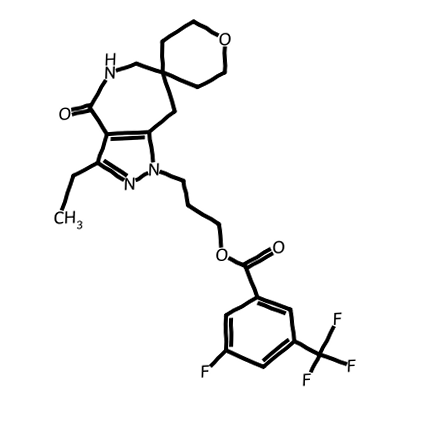 CCc1nn(CCCOC(=O)c2cc(F)cc(C(F)(F)F)c2)c2c1C(=O)NCC1(CCOCC1)C2